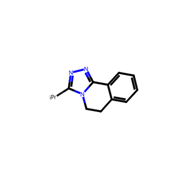 CC(C)c1nnc2n1CCc1ccccc1-2